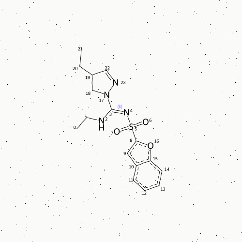 CCN/C(=N\S(=O)(=O)c1cc2ccccc2o1)N1CC(CC)C=N1